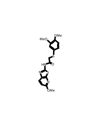 COc1ccc2nc(NC(=O)CSc3ccc(OC)c(OC)c3)sc2n1